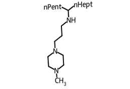 CCCCCCCC(CCCCC)NCCCN1CCN(C)CC1